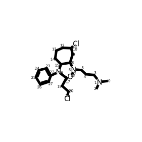 CN(C)CCCN(C)C1CC(Cl)CCCC1N(C(=O)CCCl)c1ccccc1